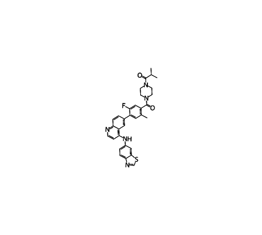 Cc1cc(-c2ccc3nccc(Nc4ccc5ncsc5c4)c3c2)c(F)cc1C(=O)N1CCN(C(=O)C(C)C)CC1